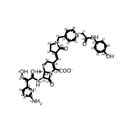 Nc1nc(/C(=N/O)C(=O)N[C@@H]2C(=O)N3C(C(=O)[O-])=C(/C=C4\CCN(Cc5cc[n+](CC(=O)Nc6ccc(O)cc6)cc5)C4=O)CS[C@H]23)cs1